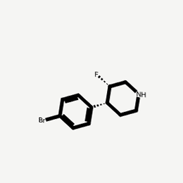 F[C@@H]1CNCC[C@@H]1c1ccc(Br)cc1